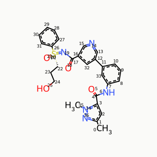 Cc1cc(C(=O)Nc2cccc(-c3cncc(C(=O)N=[S@](=O)(CCCO)c4ccccc4)c3)c2)n(C)n1